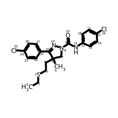 CCSCCC1(C)CN(C(=O)Nc2ccc(Cl)cc2)N=C1c1ccc(Cl)cc1